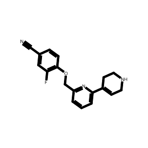 N#Cc1ccc(OCc2cccc(C3=CCNCC3)n2)c(F)c1